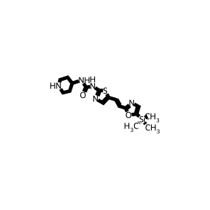 C[Si](C)(C)c1cnc(C=Cc2cnc(NC(=O)NC3CCNCC3)s2)o1